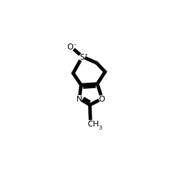 Cc1nc2c(o1)CC[S+]([O-])C2